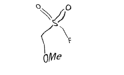 COCS(=O)(=O)F